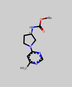 CC(C)(C)OC(=O)N[C@@H]1CCN(c2cc(C(=O)O)ncn2)C1